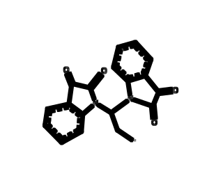 [CH2]CC(N1C(=O)C(=O)c2ccccc21)N1C(=O)C(=O)c2ccccc21